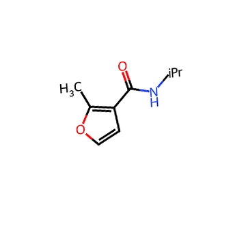 Cc1occc1C(=O)NC(C)C